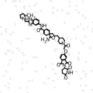 C[C@H]1CCCN1Cc1nc2cc(NC(=O)C3=CCC(CCCC4CCN(C(=O)COc5ccc6c(c5)C(=O)N(C5CCC(=O)NC5=O)C6=O)CC4)(C(N)=O)C=C3)ccc2[nH]1